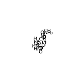 CNC(=O)c1ccc(N2CCN(Cc3cc(NC(=O)OC)[nH]c(=O)c3)CC2)c(C)n1